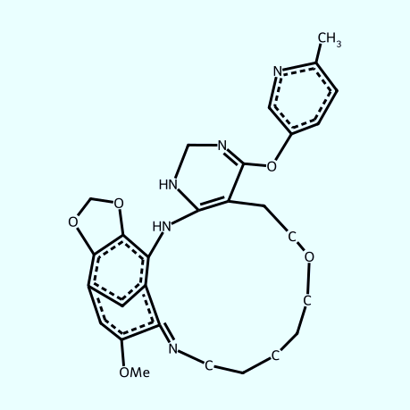 COc1cc2cc3c(c4c2OCO4)NC2=C(CCOCCCCC/N=c/13)C(Oc1ccc(C)nc1)=NCN2